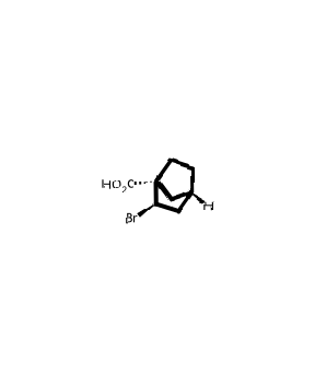 O=C(O)[C@@]12CC[C@H](C[C@H]1Br)C2